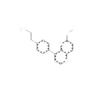 COc1ccc2nccc(-c3ccc(CCN)cc3)c2n1